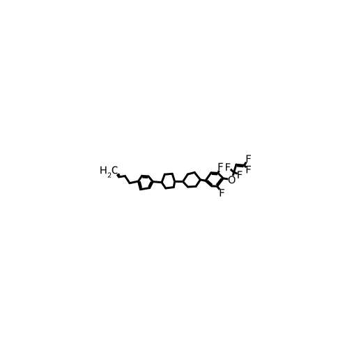 C=CCCc1ccc(C2CCC(C3CCC(c4cc(F)c(OC(F)(F)C=C(F)F)c(F)c4)CC3)CC2)cc1